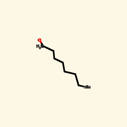 CCCCCCCCCC[SiH2][O]